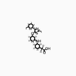 Cc1cccc(-c2nc(C)sc2Oc2ccnc(Nc3cccc(C(C)(C)C(=O)O)c3)c2)n1